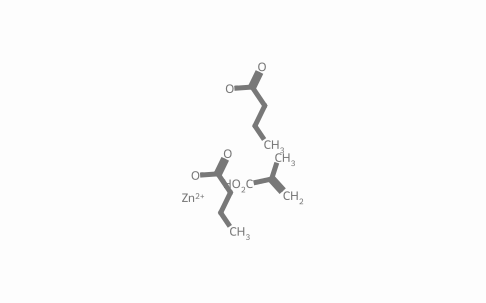 C=C(C)C(=O)O.CCCC(=O)[O-].CCCC(=O)[O-].[Zn+2]